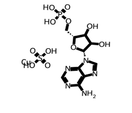 Nc1ncnc2c1ncn2[C@@H]1O[C@H](COP(=O)(O)O)C(O)C1O.O=S(=O)(O)O.[Cu]